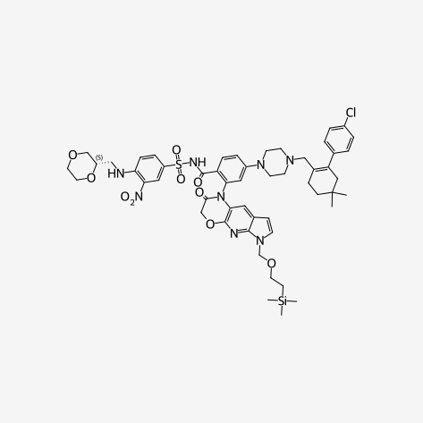 CC1(C)CCC(CN2CCN(c3ccc(C(=O)NS(=O)(=O)c4ccc(NC[C@H]5COCCO5)c([N+](=O)[O-])c4)c(N4C(=O)COc5nc6c(ccn6COCC[Si](C)(C)C)cc54)c3)CC2)=C(c2ccc(Cl)cc2)C1